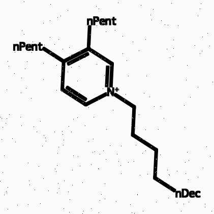 CCCCCCCCCCCCCC[n+]1ccc(CCCCC)c(CCCCC)c1